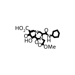 COC(=O)CN1C(=O)c2c(O)c(=O)c(C(=O)O)cn2CC1C(=O)NC1CCCCC1